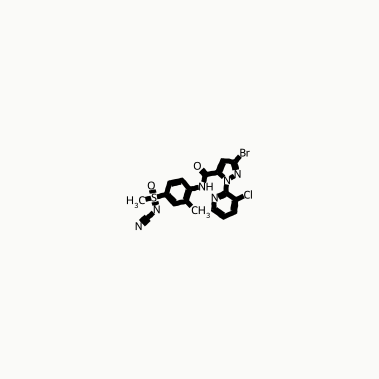 Cc1cc(S(C)(=O)=NC#N)ccc1NC(=O)c1cc(Br)nn1-c1ncccc1Cl